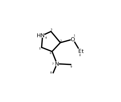 CCOC1CNCC1N(C)C